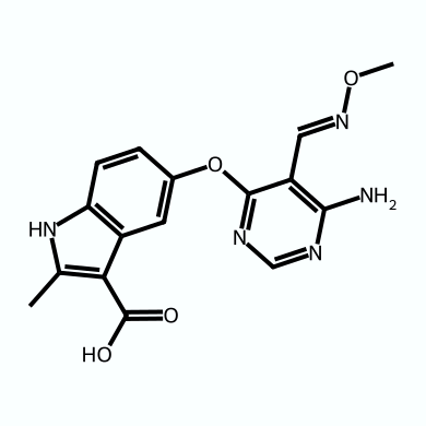 CON=Cc1c(N)ncnc1Oc1ccc2[nH]c(C)c(C(=O)O)c2c1